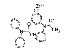 CC([O-])N(c1ccccc1)c1ccccc1.CC([O-])N(c1ccccc1)c1ccccc1.[Cl-].[Zr+3]